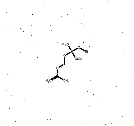 C=C(C)OCO[Si](OC)(OC)OCC